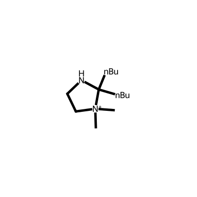 CCCCC1(CCCC)NCC[N+]1(C)C